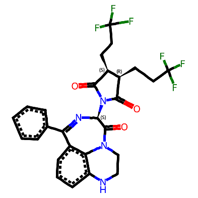 O=C1[C@H](N2C(=O)[C@@H](CCC(F)(F)F)[C@@H](CCC(F)(F)F)C2=O)N=C(c2ccccc2)c2cccc3c2N1CCN3